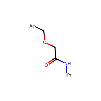 CC(=O)COCC(=O)NC(C)C